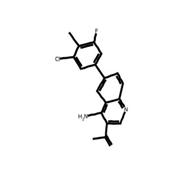 C=C(C)c1cnc2ccc(-c3cc(F)c(C)c(Cl)c3)cc2c1N